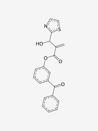 C=C(C(=O)Oc1cccc(C(=O)c2ccccc2)c1)C(O)c1nccs1